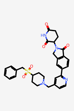 O=C1CCC(N2Cc3cc(-c4cc(CN5CCC(S(=O)(=O)Cc6ccccc6)CC5)ccn4)ccc3C2=O)C(=O)N1